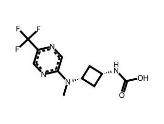 CN(c1cnc(C(F)(F)F)cn1)[C@H]1C[C@@H](NC(=O)O)C1